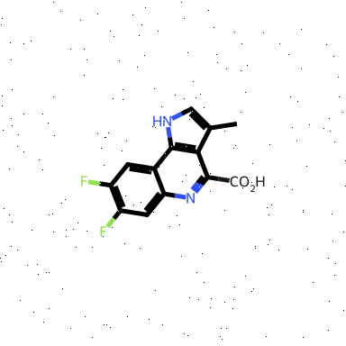 Cc1c[nH]c2c1c(C(=O)O)nc1cc(F)c(F)cc12